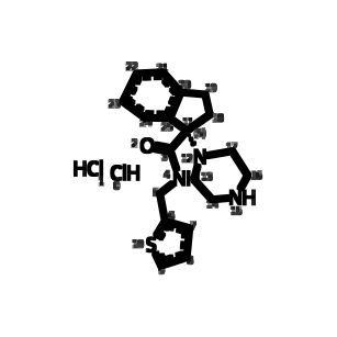 Cl.Cl.O=C(NCc1cccs1)[C@]1(N2CCNCC2)CCc2ccccc21